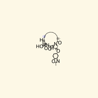 Cc1nc2cc(O[C@@H]3C[C@H]4C(=O)N[C@]5(C(=O)O)C[C@H]5/C=C\CCCCC[C@H](C)C(=O)N4C3)ccc2o1